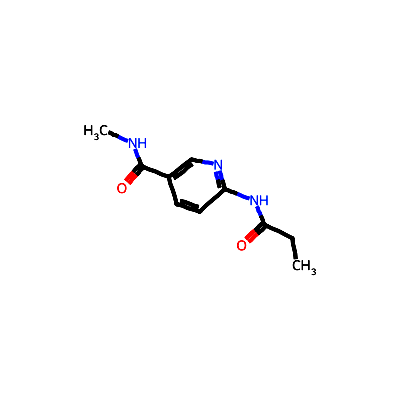 CCC(=O)Nc1ccc(C(=O)NC)cn1